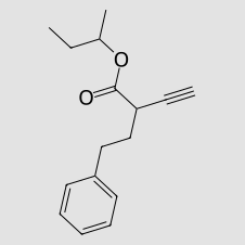 C#CC(CCc1ccccc1)C(=O)OC(C)CC